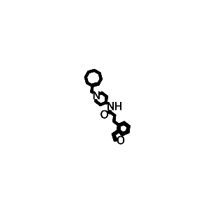 O=C(CCc1cccc2occc12)NC1CCN(CC2=CCCCCCC2)CC1